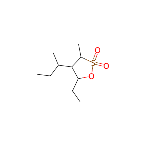 CCC(C)C1C(CC)OS(=O)(=O)C1C